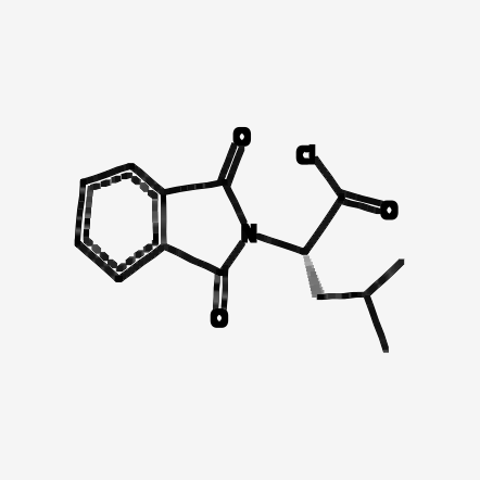 CC(C)C[C@@H](C(=O)Cl)N1C(=O)c2ccccc2C1=O